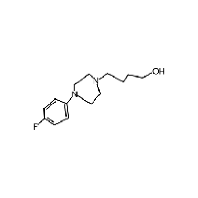 OCCCCN1CCN(c2ccc(F)cc2)CC1